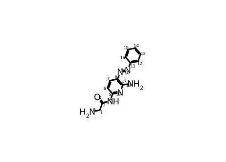 NCC(=O)Nc1ccc(/N=N/c2ccccc2)c(N)n1